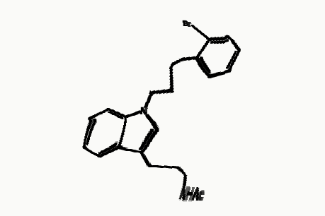 CC(=O)NCCc1cn(CCCc2ccccc2Br)c2ccccc12